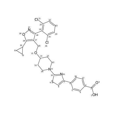 O=C(O)c1ccc(-c2csc(N3CCC(OCc4c(-c5c(Cl)cccc5Cl)noc4C4CC4)CC3)n2)cc1